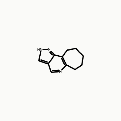 c1nc2c(c3n[nH]cc13)CCCCC2